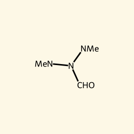 CNN(C=O)NC